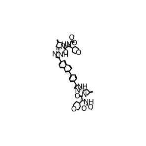 C=C1C[C@@H](c2ncc(-c3ccc(-c4ccc5cc(-c6cnc([C@@H]7CC(=C)CN7C(=O)[C@@H](NC(=O)OC)C7CCOCC7)[nH]6)ccc5c4)cc3)[nH]2)N(C(=O)[C@@H](NC(=O)OC)C2CCOCC2)C1